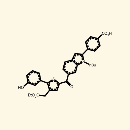 CCCCn1c(-c2ccc(C(=O)O)cc2)cc2ccc(C(=O)c3cc(CC(=O)OCC)c(-c4cccc(O)c4)s3)cc21